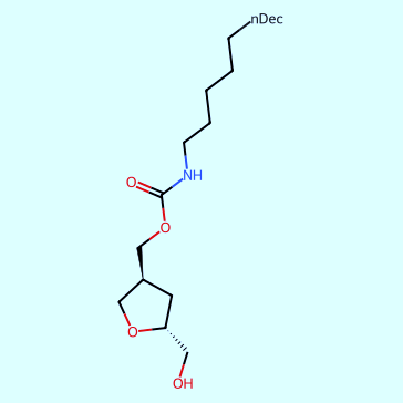 CCCCCCCCCCCCCCCNC(=O)OC[C@@H]1CO[C@@H](CO)C1